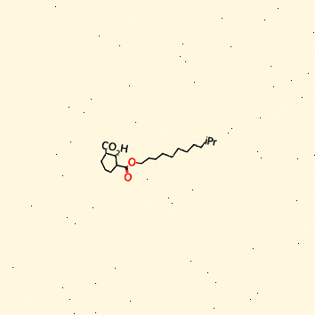 CC(C)CCCCCCCCCOC(=O)C1CCCC(C(=O)O)C1